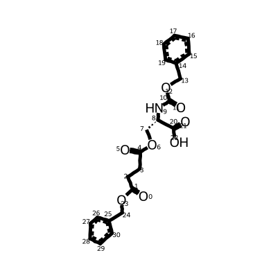 O=C(CCC(=O)OC[C@H](NC(=O)OCc1ccccc1)C(=O)O)OCc1ccccc1